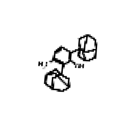 Cc1ccc(C23CC4CC(CC(C4)C2)C3)c(O)c1C12CC3CC(CC(C3)C1)C2